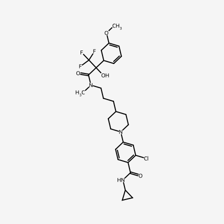 COC1=CC=CC(C(O)(C(=O)N(C)CCCC2CCN(c3ccc(C(=O)NC4CC4)c(Cl)c3)CC2)C(F)(F)F)C1